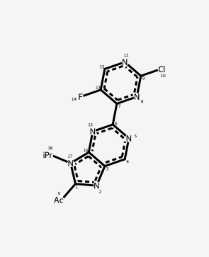 CC(=O)c1nc2cnc(-c3nc(Cl)ncc3F)nc2n1C(C)C